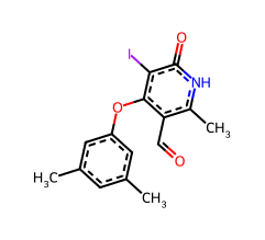 Cc1cc(C)cc(Oc2c(C=O)c(C)[nH]c(=O)c2I)c1